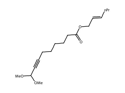 CCCC=CCOC(=O)CCCCCC#CC(OC)OC